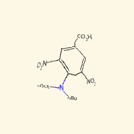 CCCCCCCCN(CCCC)c1c([N+](=O)[O-])cc(C(=O)O)cc1[N+](=O)[O-]